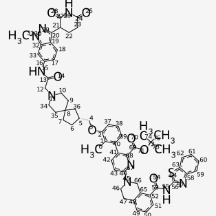 Cc1c(OC[C@@H]2CCC3(CCN(CC(=O)Nc4ccc5c(C6CCC(=O)NC6=O)nn(C)c5c4)CC3)C2)cccc1-c1ccc(N2CCc3cccc(C(=O)Nc4nc5ccccc5s4)c3C2)nc1C(=O)OC(C)(C)C